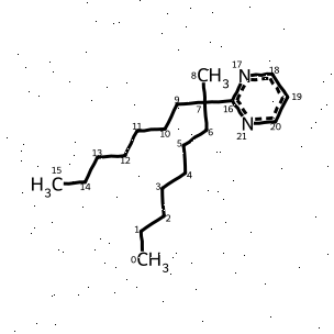 CCCCCCCC(C)(CCCCCCC)c1ncccn1